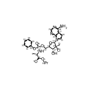 CC(C)OC(=O)[C@@H](C)NP(=O)(OC[C@H]1O[C@@H](n2ccc3c(N)ncnc32)[C@](C)(Cl)[C@@H]1O)Oc1ccccc1